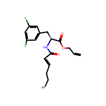 C=CCOC(=O)[C@H](Cc1cc(F)cc(F)c1)NC(=O)/C=C/CCC(C)C